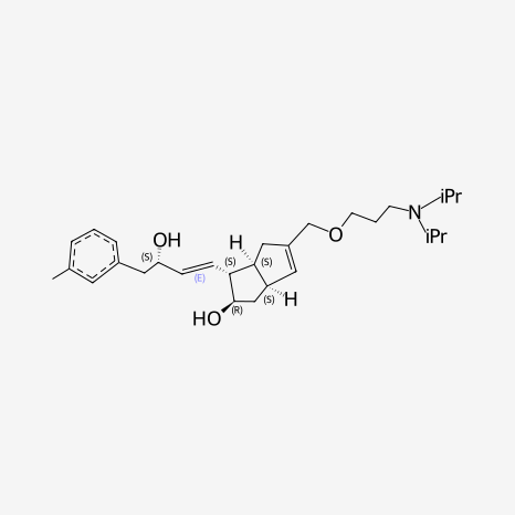 Cc1cccc(C[C@H](O)/C=C/[C@@H]2[C@H]3CC(COCCCN(C(C)C)C(C)C)=C[C@H]3C[C@H]2O)c1